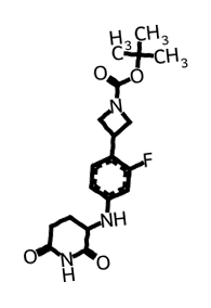 CC(C)(C)OC(=O)N1CC(c2ccc(NC3CCC(=O)NC3=O)cc2F)C1